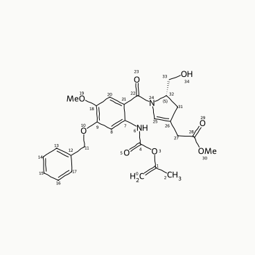 C=C(C)OC(=O)Nc1cc(OCc2ccccc2)c(OC)cc1C(=O)N1C=C(CC(=O)OC)C[C@H]1CO